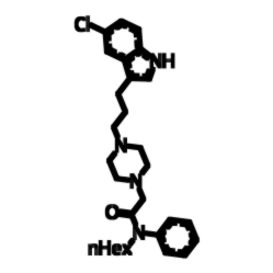 CCCCCCN(C(=O)CN1CCN(CCCc2c[nH]c3ccc(Cl)cc23)CC1)c1ccccc1